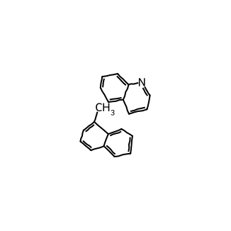 Cc1cccc2ccccc12.c1ccc2ncccc2c1